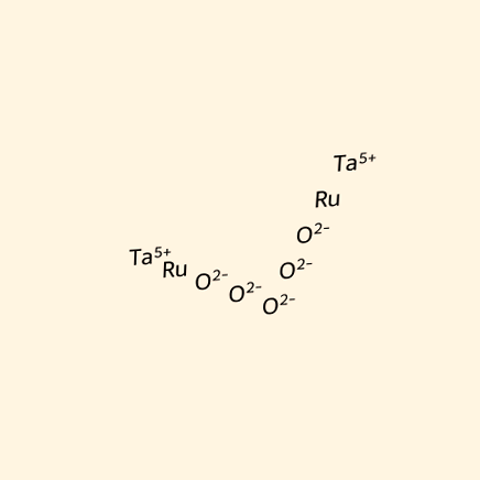 [O-2].[O-2].[O-2].[O-2].[O-2].[Ru].[Ru].[Ta+5].[Ta+5]